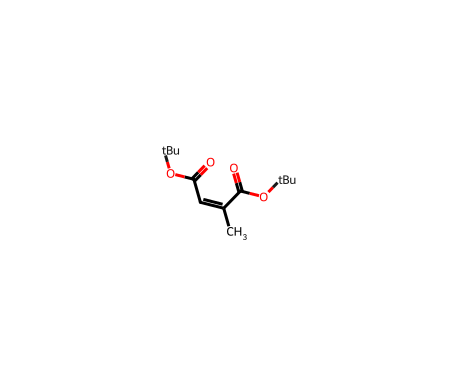 C/C(=C/C(=O)OC(C)(C)C)C(=O)OC(C)(C)C